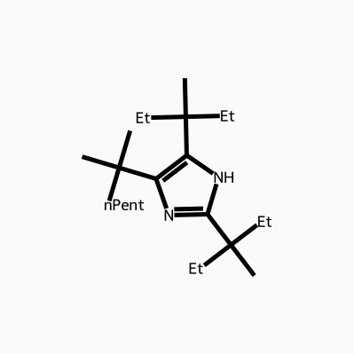 CCCCCC(C)(C)c1nc(C(C)(CC)CC)[nH]c1C(C)(CC)CC